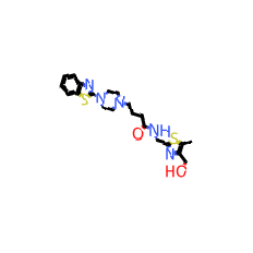 Cc1sc(CNC(=O)CCCN2CCN(c3nc4ccccc4s3)CC2)nc1CO